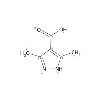 Cc1n[nH]c(C)c1C(=O)O